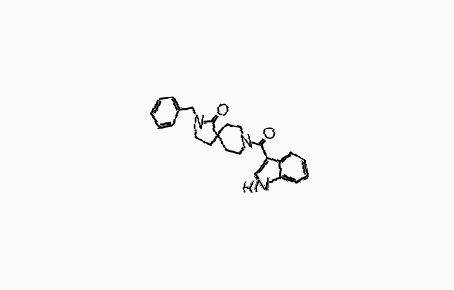 O=C(c1c[nH]c2ccccc12)N1CCC2(CC1)CCN(Cc1ccccc1)C2=O